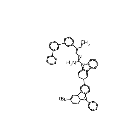 C=C/C(=C\N=C(/N)n1c2c(c3ccccc31)=CC(c1ccc3c(c1)C1C=C(C(C)(C)C)C=CC1N3c1ccccc1)CC=2)c1cccc(-c2cccc(-c3ccccc3)c2)c1